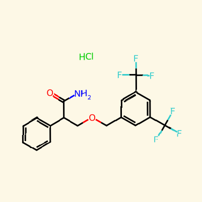 Cl.NC(=O)C(COCc1cc(C(F)(F)F)cc(C(F)(F)F)c1)c1ccccc1